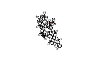 CC(=O)OCC[C@@H](OC(C)=O)C(OC(C)=O)[C@@H](OC(C)=O)[C@H](O)O[C@H](COC(C)=O)[C@H]1OC(C)(C)O[C@@H]1[C@@H](COC(C)=O)O[C@H]1OC(COC(C)=O)[C@@H](OC(C)=O)C(OC(C)=O)[C@H]1OC(C)=O